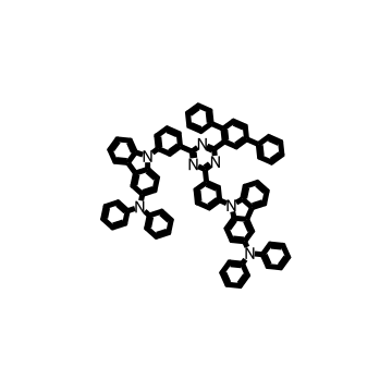 c1ccc(-c2ccc(-c3ccccc3)c(-c3nc(-c4cccc(-n5c6ccccc6c6cc(N(c7ccccc7)c7ccccc7)ccc65)c4)nc(-c4cccc(-n5c6ccccc6c6cc(N(c7ccccc7)c7ccccc7)ccc65)c4)n3)c2)cc1